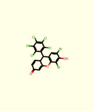 O=C1C=CC2C(=C1)Oc1c(cc(Br)c(O)c1Br)C2c1c(Cl)c(Cl)c(Cl)c(Cl)c1Cl